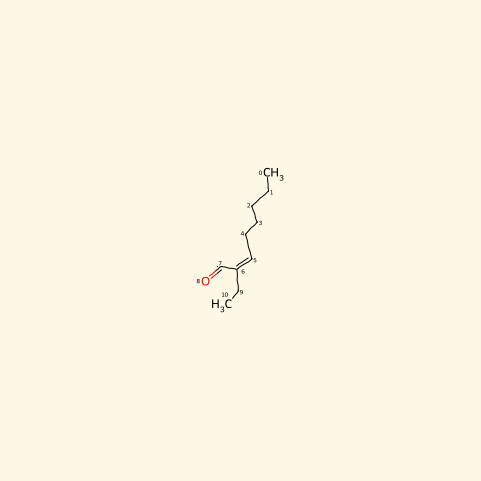 CCCCCC=C([C]=O)CC